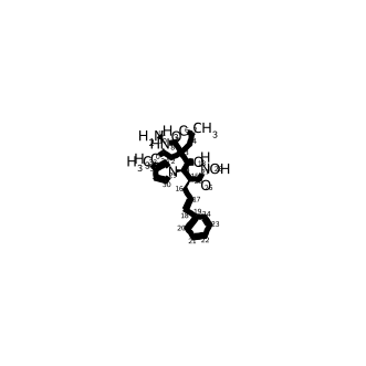 CCCC(CC(C)C)(C(=O)NN)C(=O)[C@@H]([C@H](C/C=C/c1ccccc1)C(=O)NO)n1ccc(C)c1